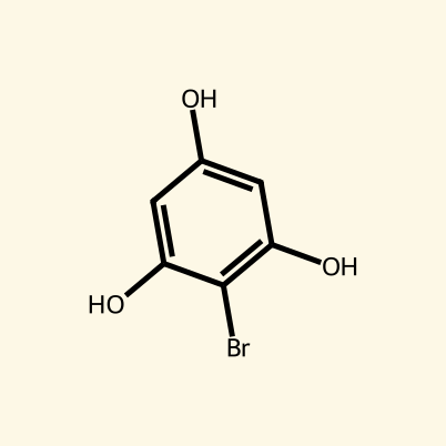 Oc1cc(O)c(Br)c(O)c1